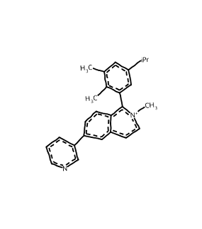 Cc1cc(C(C)C)cc(-c2c3ccc(-c4cccnc4)cc3cc[n+]2C)c1C